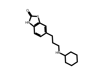 O=c1[nH]c2ccc(CCCNC3CCCCC3)cc2s1